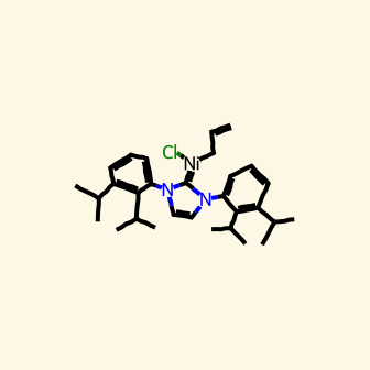 C=C[CH2][Ni]([Cl])=[c]1n(-c2cccc(C(C)C)c2C(C)C)ccn1-c1cccc(C(C)C)c1C(C)C